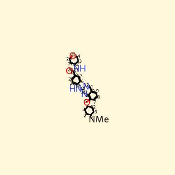 CNC1CCC(Oc2cccc3cnc(Nc4ccc(C(=O)NC5CCOCC5)cc4)nc23)CC1